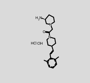 Cc1cccc(C)c1/C=C/C1CCN(C(=O)CN2CCC[C@H](N)C2)CC1.Cl.Cl